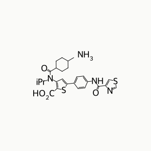 CC1CCC(C(=O)N(c2cc(-c3ccc(NC(=O)c4cscn4)cc3)sc2C(=O)O)C(C)C)CC1.N